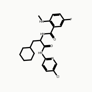 CNc1ccc(F)cc1C(=O)NC(CC1CCCCC1)C(=O)Nc1ccc(Cl)cn1